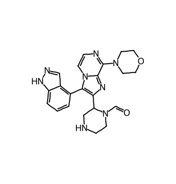 O=CN1CCNCC1c1nc2c(N3CCOCC3)nccn2c1-c1cccc2[nH]ncc12